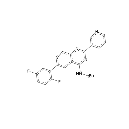 CC(C)(C)Nc1nc(-c2cccnc2)nc2ccc(-c3cc(F)ccc3F)cc12